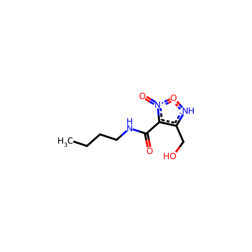 CCCCNC(=O)c1c(CO)[nH]o[n+]1=O